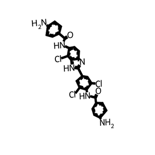 Nc1ccc(C(=O)Nc2ccc3nc(-c4cc(Cl)c(NC(=O)c5ccc(N)cc5)c(Cl)c4)[nH]c3c2Cl)cc1